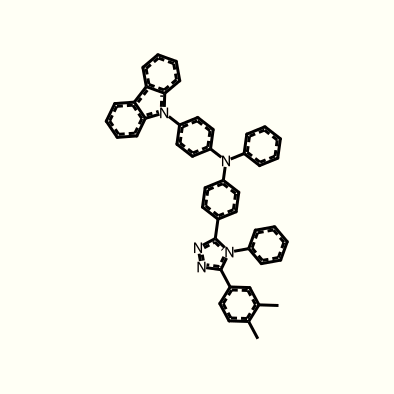 Cc1ccc(-c2nnc(-c3ccc(N(c4ccccc4)c4ccc(-n5c6ccccc6c6ccccc65)cc4)cc3)n2-c2ccccc2)cc1C